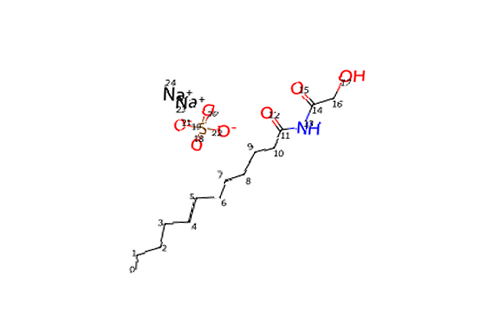 CCCCCCCCCCCC(=O)NC(=O)CO.O=S(=O)([O-])[O-].[Na+].[Na+]